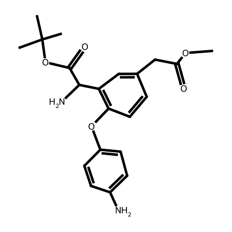 COC(=O)Cc1ccc(Oc2ccc(N)cc2)c(C(N)C(=O)OC(C)(C)C)c1